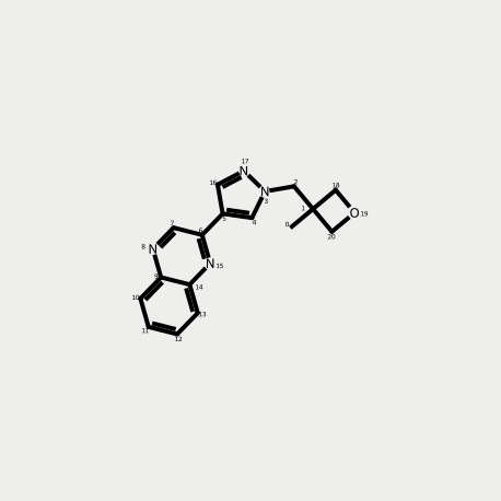 CC1(Cn2cc(-c3cnc4ccccc4n3)cn2)COC1